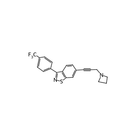 FC(F)(F)c1ccc(-c2nsc3cc(C#CCN4CCC4)ccc23)cc1